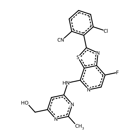 [C-]#[N+]c1cccc(Cl)c1-c1nc2c(F)cnc(Nc3cc(CO)nc(C)n3)c2s1